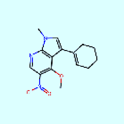 COc1c([N+](=O)[O-])cnc2c1c(C1=CCCCC1)cn2C